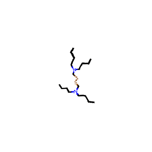 CCCCN(CCCC)CSSCN(CCCC)CCCC